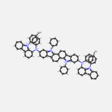 CC(C)c1ccc(-n2c3ccccc3c3cccc(N(c4ccccc4)c4ccc5c6ccc7c(ccc8c9ccc(N(c%10ccccc%10)c%10cccc%11c%12ccccc%12n(-c%12ccc(C(C)C)cc%12)c%10%11)cc9n(-c9ccccc9)c87)c6n(-c6ccccc6)c5c4)c32)cc1